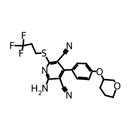 N#Cc1c(N)nc(SCCC(F)(F)F)c(C#N)c1-c1ccc(OC2CCCOC2)cc1